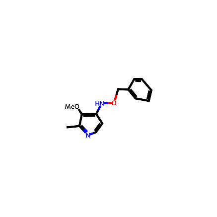 COc1c(NOCc2ccccc2)ccnc1C